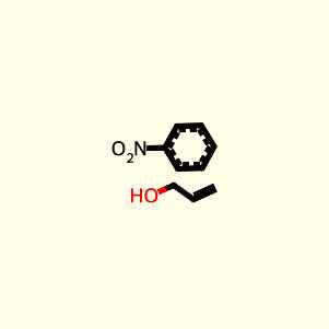 C=CCO.O=[N+]([O-])c1ccccc1